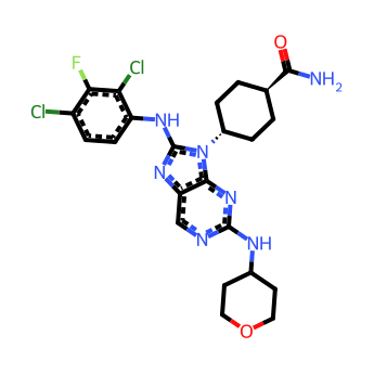 NC(=O)[C@H]1CC[C@H](n2c(Nc3ccc(Cl)c(F)c3Cl)nc3cnc(NC4CCOCC4)nc32)CC1